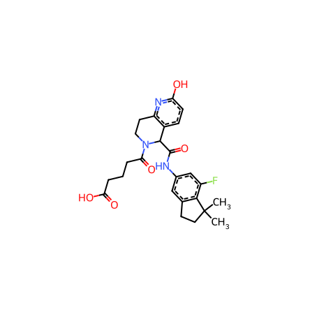 CC1(C)CCc2cc(NC(=O)C3c4ccc(O)nc4CCN3C(=O)CCCC(=O)O)cc(F)c21